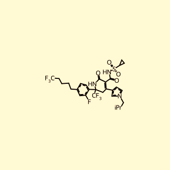 CC(C)Cn1ccc(C2=C(C(=O)NS(=O)(=O)C3CC3)C(=O)NC(c3ccc(CCCCC(F)(F)F)cc3F)(C(F)(F)F)C2)c1